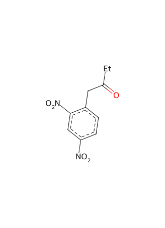 CCC(=O)Cc1ccc([N+](=O)[O-])cc1[N+](=O)[O-]